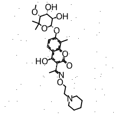 CO[C@@H]1[C@H](O)[C@@H](O)[C@H](Oc2ccc3c(O)c(C(C)=NOCCN4CCCCC4)c(=O)oc3c2C)OC1(C)C